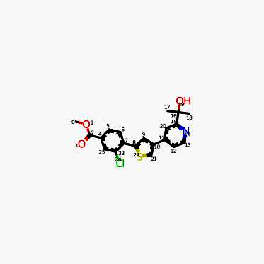 COC(=O)c1ccc(-c2cc(-c3ccnc(C(C)(C)O)c3)cs2)c(Cl)c1